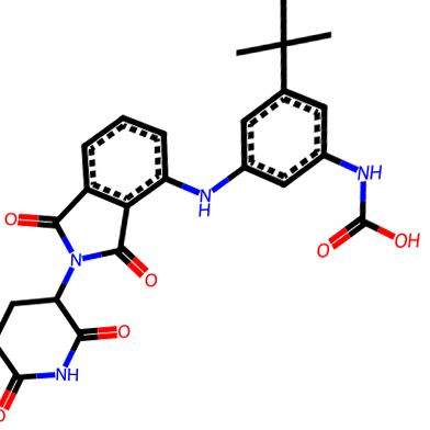 CC(C)(C)c1cc(NC(=O)O)cc(Nc2cccc3c2C(=O)N(C2CCC(=O)NC2=O)C3=O)c1